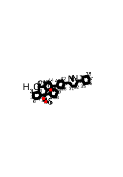 CC1(C)c2ccccc2C2(c3ccccc3Sc3ccccc32)c2cc(-c3ccc(-c4ccc(-c5ccccc5)nn4)cc3)ccc21